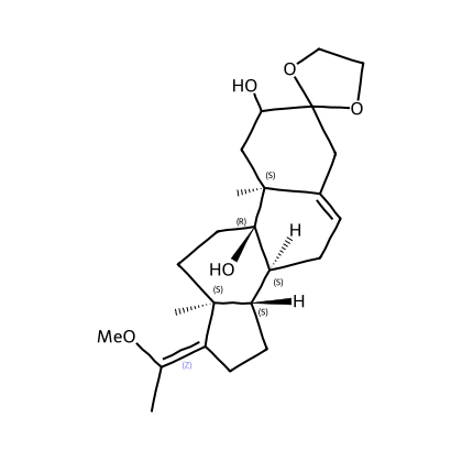 CO/C(C)=C1/CC[C@H]2[C@@H]3CC=C4CC5(OCCO5)C(O)C[C@]4(C)[C@@]3(O)CC[C@]12C